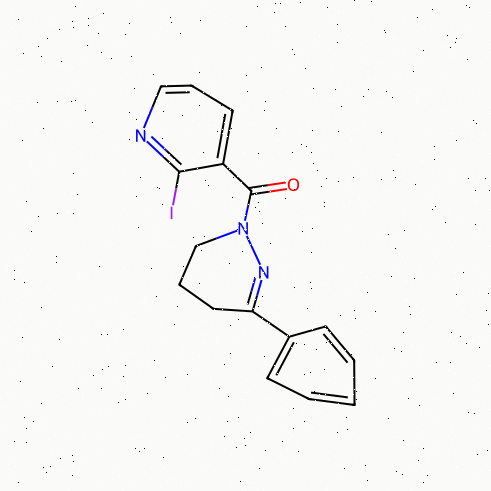 O=C(c1cccnc1I)N1CCCC(c2ccccc2)=N1